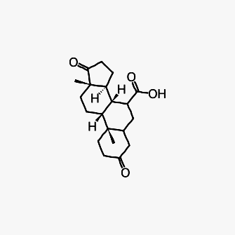 C[C@]12CCC(=O)CC1CC(C(=O)O)[C@@H]1[C@H]2CC[C@]2(C)C(=O)CC[C@@H]12